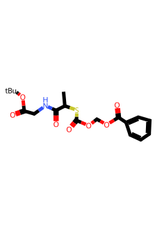 CC(SC(=O)OCOC(=O)c1ccccc1)C(=O)NCC(=O)OC(C)(C)C